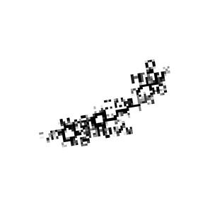 COc1cc(OC)c(C(=O)CCCCN2CCC3(CC2)NC(=O)N(C)C3=O)c(OC)c1NS(=O)(=O)c1ccc(C(F)(F)F)cc1